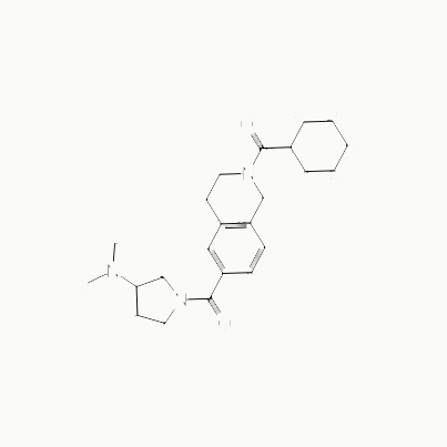 CN(C)C1CCN(C(=O)c2ccc3c(c2)CCN(C(=O)C2CCCCC2)C3)C1